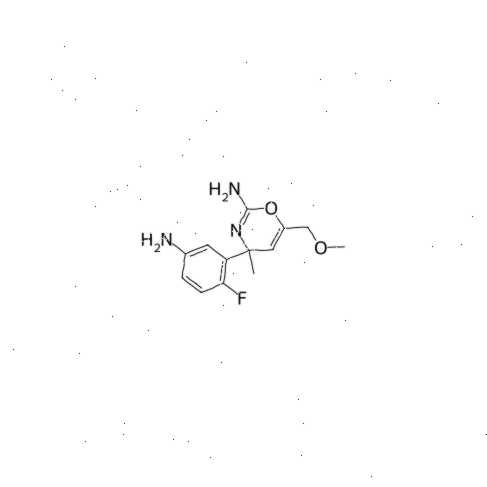 COCC1=CC(C)(c2cc(N)ccc2F)N=C(N)O1